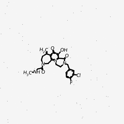 C=C1CCN(C(=O)CNC)Cc2c1c(=O)c(O)c1n2CCN(Cc2ccc(F)c(Cl)c2)C1=O